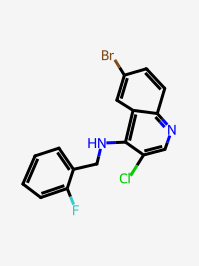 Fc1ccccc1CNc1c(Cl)cnc2ccc(Br)cc12